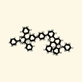 c1ccc(-c2nc(-c3ccccc3)c(-c3ccc(-c4ccc(-c5cccc6c5nc(-c5ccccc5)c5c6ccc6c5c5ccccc5n6-c5ccccc5)cc4)cc3)c(-c3ccccc3)n2)cc1